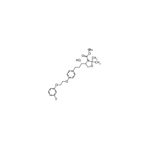 CC(C)(C)OC(=O)N1C([C@@H](O)CCc2ccc(OCCOc3cccc(F)c3)cc2)COC1(C)C